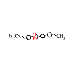 CCCCCc1ccc(C2OCC(c3ccc([C@H]4CC[C@H](CCC)CC4)cc3)CO2)cc1